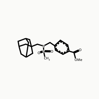 COC(=O)c1ccc(CN(CC23CC4CC(CC(C4)C2)C3)S(C)(=O)=O)cc1